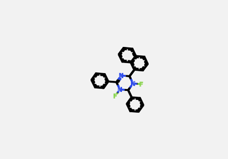 FN1C(c2ccccc2)=NC(c2cccc3ccccc23)N(F)C1c1ccccc1